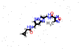 Cc1nonc1C(=O)NCc1cn2ncc(CNC(=O)CC3CC3)cc2n1